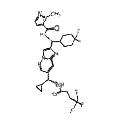 Cn1nccc1C(=O)N[C@H](c1cn2ncc(C(NC(=O)CCC(F)(F)F)C3CC3)cc2n1)C1CCC(F)(F)CC1